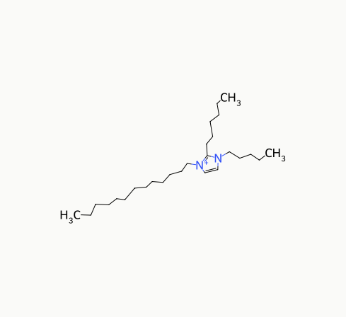 CCCCCCCCCCCCC[n+]1ccn(CCCCC)c1CCCCCC